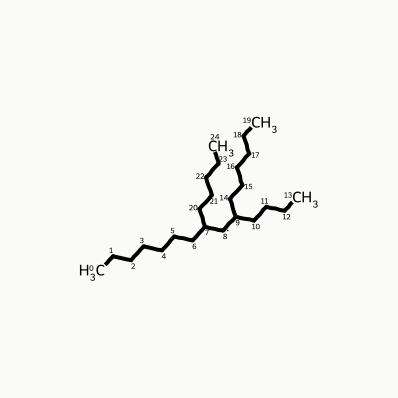 CCCCCCCC([CH]C(CCCC)CCCCCC)CCCCC